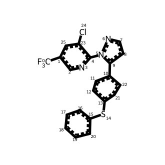 FC(F)(F)c1cnc(-n2nccc2-c2ccc(Sc3ccccc3)cc2)c(Cl)c1